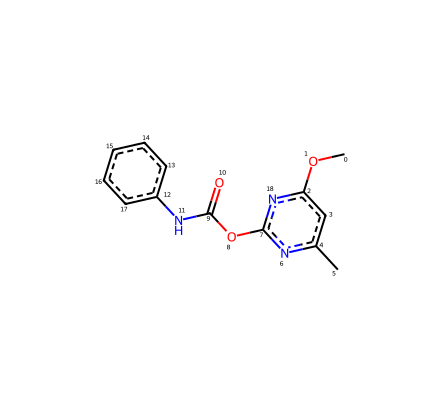 COc1cc(C)nc(OC(=O)Nc2ccccc2)n1